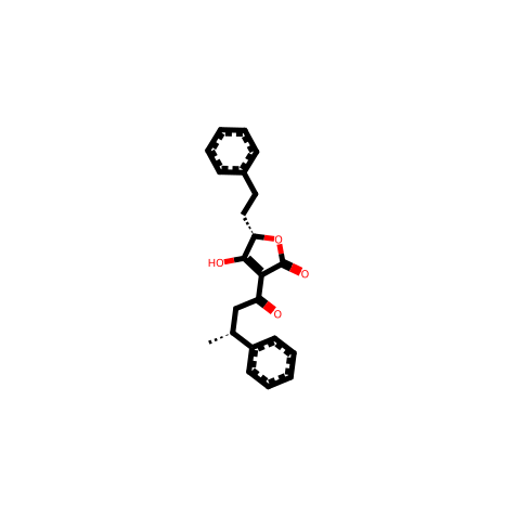 C[C@H](CC(=O)C1=C(O)[C@H](CCc2ccccc2)OC1=O)c1ccccc1